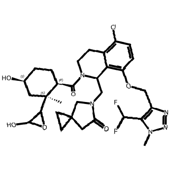 Cn1nnc(COc2ccc(Cl)c3c2C(CN2CC4(CC4)CC2=O)N(C(=O)[C@@H]2CC[C@H](O)C[C@]2(C)C2OC2O)CC3)c1C(F)F